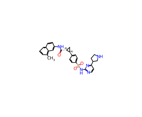 Cc1cccc2ccc(NC(=O)[C@@H]3C[C@H]3c3ccc(S(=O)(=O)Nc4nccc(C5CCNC5)n4)cc3)cc12